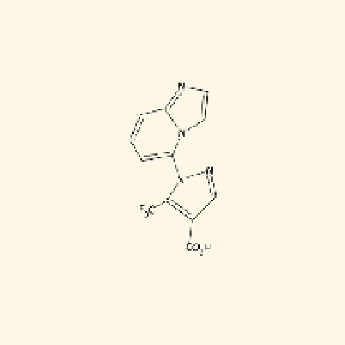 O=C(O)c1cnn(-c2cccc3nccn23)c1C(F)(F)F